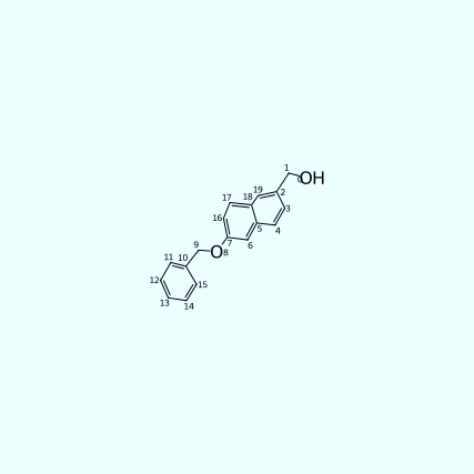 OCc1ccc2cc(OCc3ccccc3)ccc2c1